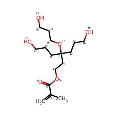 C=C(C)C(=O)OCCC(CCCO)(CCCO)OCCCO